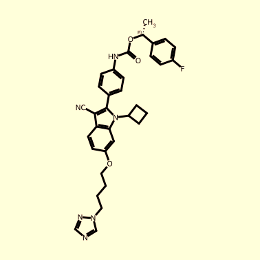 C[C@@H](OC(=O)Nc1ccc(-c2c(C#N)c3ccc(OCCCCn4cncn4)cc3n2C2CCC2)cc1)c1ccc(F)cc1